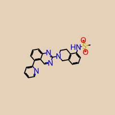 CS(=O)(=O)Nc1cccc2c1CCN(c1ncc3c(-c4ccccn4)cccc3n1)C2